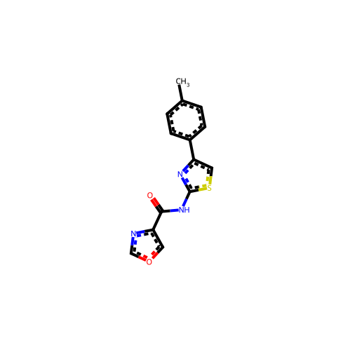 Cc1ccc(-c2csc(NC(=O)c3cocn3)n2)cc1